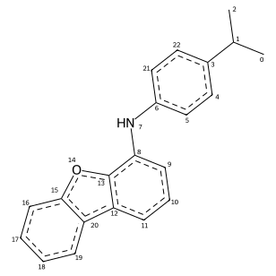 CC(C)c1ccc(Nc2cccc3c2oc2ccccc23)cc1